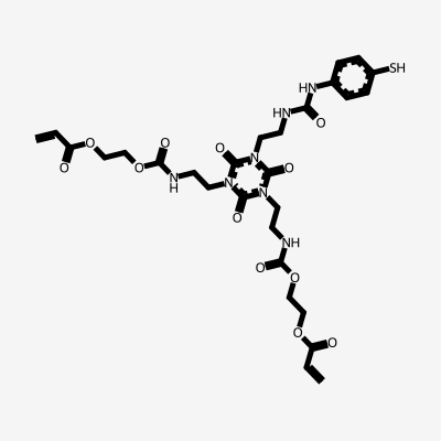 C=CC(=O)OCCOC(=O)NCCn1c(=O)n(CCNC(=O)Nc2ccc(S)cc2)c(=O)n(CCNC(=O)OCCOC(=O)C=C)c1=O